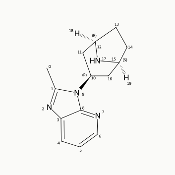 Cc1nc2cccnc2n1[C@H]1C[C@H]2CC[C@@H](C1)N2